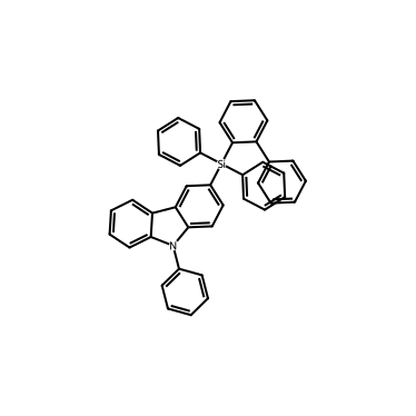 c1ccc(-c2ccccc2[Si](c2ccccc2)(c2ccccc2)c2ccc3c(c2)c2ccccc2n3-c2ccccc2)cc1